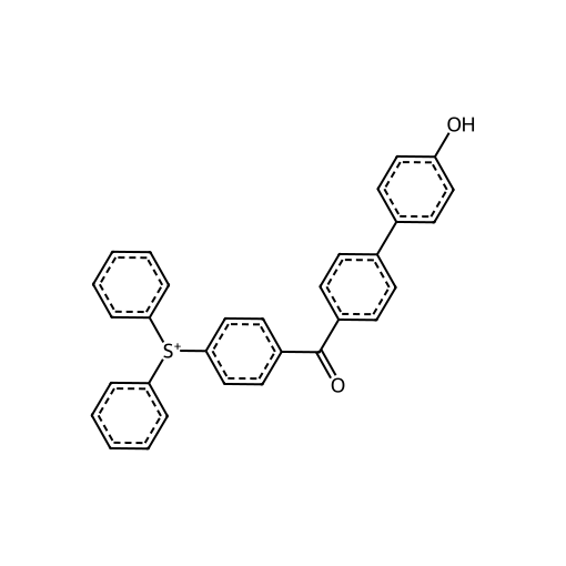 O=C(c1ccc(-c2ccc(O)cc2)cc1)c1ccc([S+](c2ccccc2)c2ccccc2)cc1